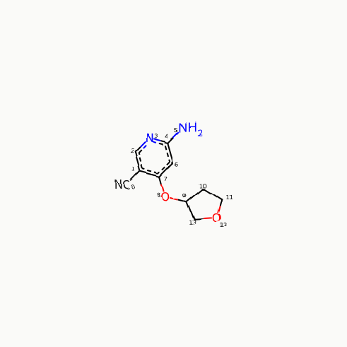 N#Cc1cnc(N)cc1OC1CCOC1